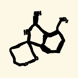 N=C1NC2(CCCOO2)c2cccc([N+](=O)[O-])c21